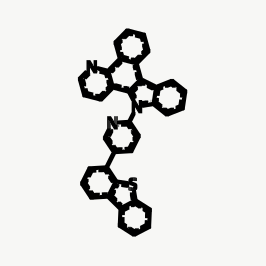 c1ccc2c(c1)sc1c(-c3ccc(-n4c5ccccc5c5c6ccccc6c6ncccc6c54)nc3)cccc12